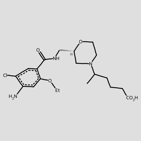 CCOc1cc(N)c(Cl)cc1C(=O)NC[C@H]1CN(C(C)CCCC(=O)O)CCO1